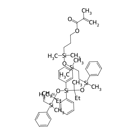 C=C[Si](C)(c1ccccc1)[C@@](C)(CC)O[Si](c1ccccc1)(c1ccccc1)C(C)(CC)O[Si](C)(CC[Si](C)(C)O[Si](C)(C)CCCOC(=O)C(=C)C)c1ccccc1